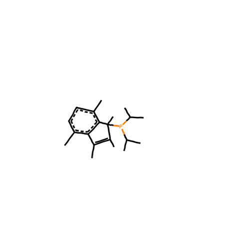 CC1=C(C)C(C)(P(C(C)C)C(C)C)c2c(C)ccc(C)c21